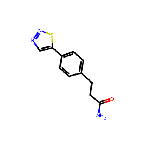 NC(=O)CCc1ccc(-c2cnns2)cc1